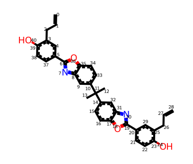 C=CCc1cc(-c2nc3cc(C(C)(C)c4ccc5oc(-c6ccc(O)c(CC=C)c6)nc5c4)ccc3o2)ccc1O